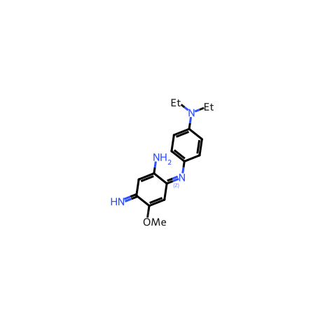 CCN(CC)c1ccc(/N=C2/C=C(OC)C(=N)C=C2N)cc1